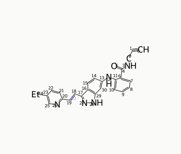 C#CCNC(=O)c1ccccc1Nc1ccc2c(/C=C/c3ccc(CC)cn3)n[nH]c2c1